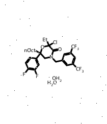 CCCCCCCCC1(c2ccc(F)c(F)c2)CN(Cc2cc(C(F)(F)F)cc(C(F)(F)F)c2)C(=O)C(Cl)(CC)O1.O.O